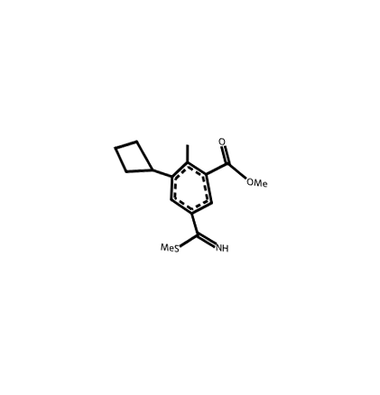 COC(=O)c1cc(C(=N)SC)cc(C2CCC2)c1C